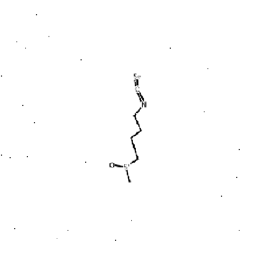 C[S+]([O-])CCCCN=C=[Se]